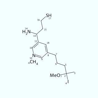 C.COC(C)(I)CCCc1cncc(C(N)CCS)c1